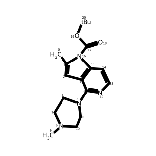 Cc1cc2c(N3CCN(C)CC3)nccc2n1C(=O)OC(C)(C)C